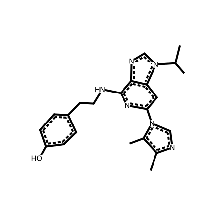 Cc1ncn(-c2cc3c(ncn3C(C)C)c(NCCc3ccc(O)cc3)n2)c1C